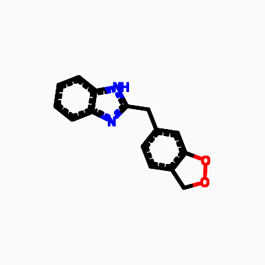 c1ccc2[nH]c(Cc3ccc4c(c3)OOC4)nc2c1